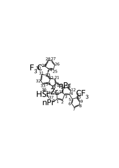 CCCC1=Cc2c(-c3ccccc3C(F)(F)F)cccc2[CH]1[Zr]([CH]1C(CCC)=Cc2c(-c3ccccc3C(F)(F)F)cccc21)[SiH](C)C